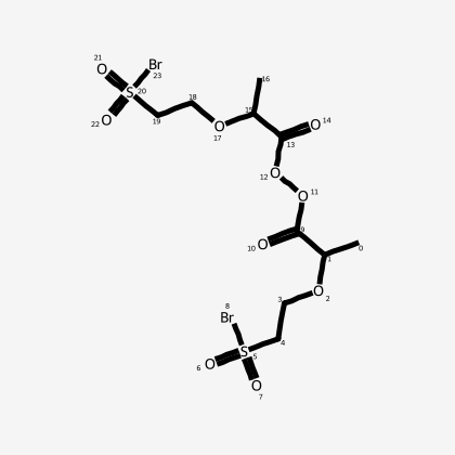 CC(OCCS(=O)(=O)Br)C(=O)OOC(=O)C(C)OCCS(=O)(=O)Br